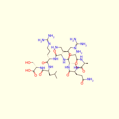 CC(C)C[C@H](NC(=O)[C@H](CCCN=C(N)N)NC(=O)[C@H](CCCN=C(N)N)NC(=O)[C@H](CC(C)C)NC(=O)[C@H](CCC(N)=O)NC(=O)[C@H](C)NC(=O)[C@@H](N)CCCCN)C(=O)N[C@@H](CO)C(=O)O